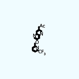 CC(=O)Cc1cnc2cc(OCc3cccc(C(F)(F)F)n3)cnc2c1